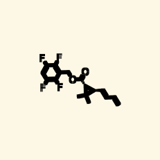 C=CC=C[C@@H]1[C@@H](C(=O)OCc2c(F)c(F)cc(F)c2F)C1(C)C